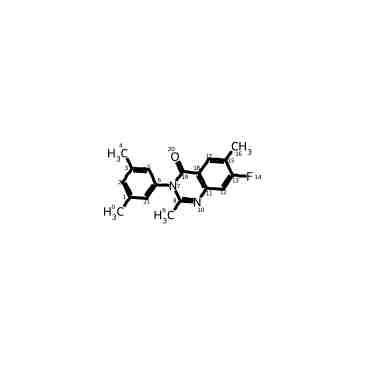 Cc1cc(C)cc(-n2c(C)nc3cc(F)c(C)cc3c2=O)c1